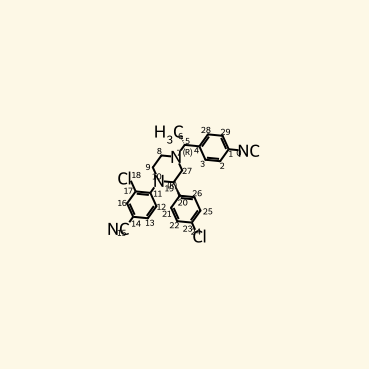 [C-]#[N+]c1ccc([C@@H](C)N2CCN(c3ccc(C#N)cc3Cl)[C@H](c3ccc(Cl)cc3)C2)cc1